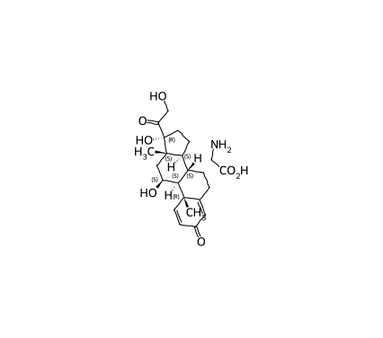 C[C@]12C=CC(=O)C=C1CC[C@@H]1[C@@H]2[C@@H](O)C[C@@]2(C)[C@H]1CC[C@]2(O)C(=O)CO.NCC(=O)O